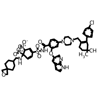 CC1(C)CCC(CN2CCN(c3ccc(C(=O)NS(=O)(=O)C4=CC([N+](=O)[O-])C(NCC5CCC6(CC5)COC6)([N+](=O)[O-])C=C4)c(Oc4cnc5[nH]ccc5c4)c3)CC2)=C(c2ccc(Cl)cc2)C1